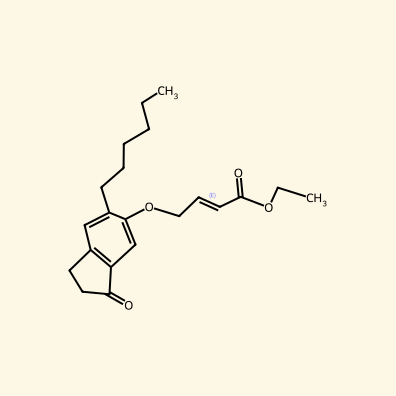 CCCCCCc1cc2c(cc1OC/C=C/C(=O)OCC)C(=O)CC2